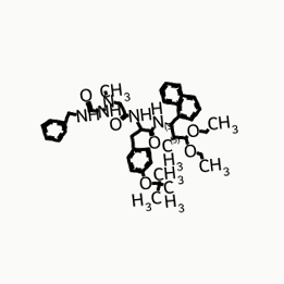 CCOC(OCC)[C@@H](C)[C@H](NC(=O)C(Cc1ccc(OC(C)(C)C)cc1)NC(=O)CN(C)NC(=O)NCc1ccccc1)c1cccc2ccccc12